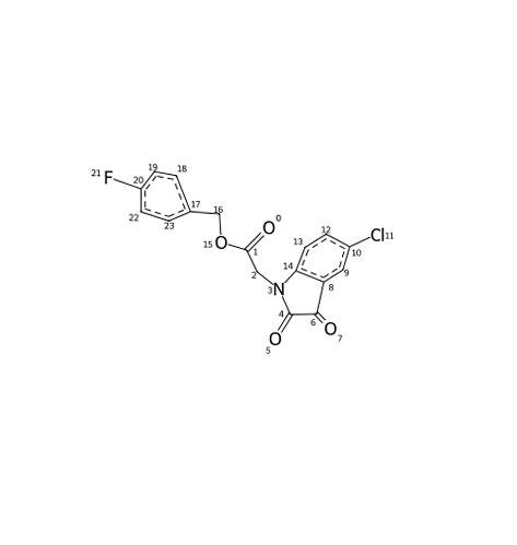 O=C(CN1C(=O)C(=O)c2cc(Cl)ccc21)OCc1ccc(F)cc1